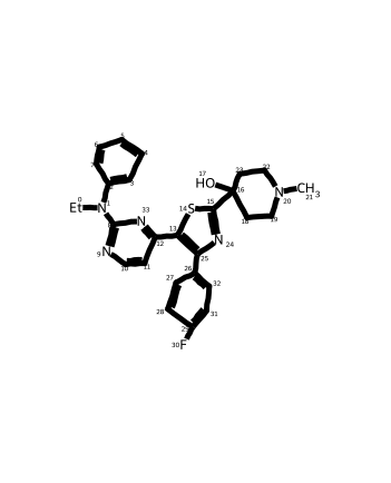 CCN(c1ccccc1)c1nccc(-c2sc(C3(O)CCN(C)CC3)nc2-c2ccc(F)cc2)n1